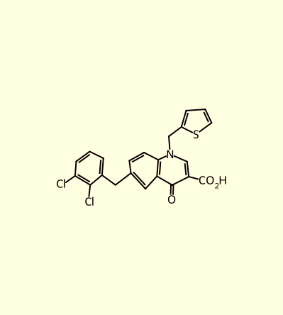 O=C(O)c1cn(Cc2cccs2)c2ccc(Cc3cccc(Cl)c3Cl)cc2c1=O